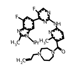 C=CCN1CCCN(C(=O)c2ccc(Nc3ncc(F)c(-c4cc(F)c5nc(C)n(C(C)C)c5c4)n3)nc2C)CC1